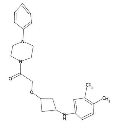 Cc1ccc(NC2CC(OCC(=O)N3CCN(c4ccccc4)CC3)C2)cc1C(F)(F)F